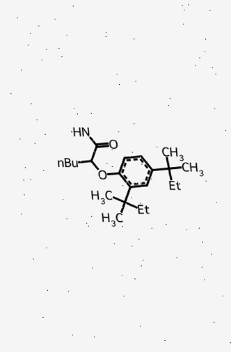 CCCCC(Oc1ccc(C(C)(C)CC)cc1C(C)(C)CC)C([NH])=O